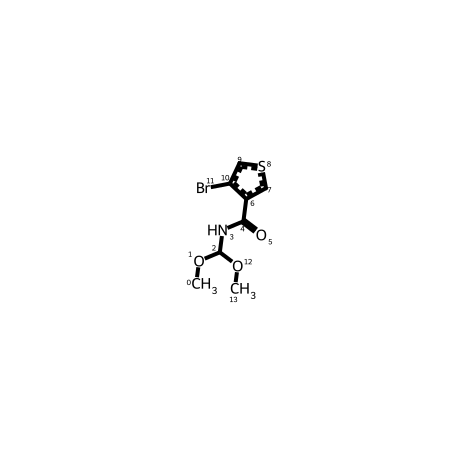 COC(NC(=O)c1cscc1Br)OC